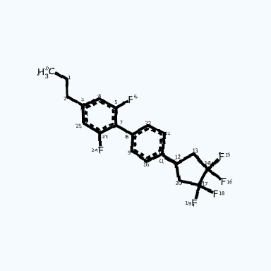 CCCc1cc(F)c(-c2ccc(C3CC(F)(F)C(F)(F)C3)cc2)c(F)c1